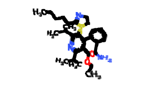 CCCCCC1=NCC[SH]1c1c(C(C)C)nc(C(C)C)c(C(=O)OCC)c1-c1ccccc1CN